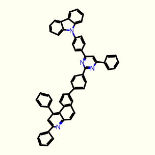 c1ccc(-c2cc(-c3ccc(-n4c5ccccc5c5ccccc54)cc3)nc(-c3ccc(-c4ccc5c(ccc6nc(-c7ccccc7)cc(-c7ccccc7)c65)c4)cc3)n2)cc1